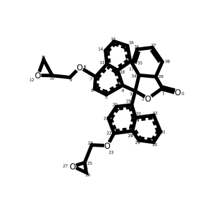 O=C1OC(c2ccc(OCC3CO3)c3ccccc23)(c2ccc(OCC3CO3)c3ccccc23)C2C=CC=CC12